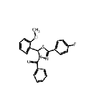 COc1ccccc1C1SC(c2ccc(F)cc2)=NN1C(=O)c1ccccc1